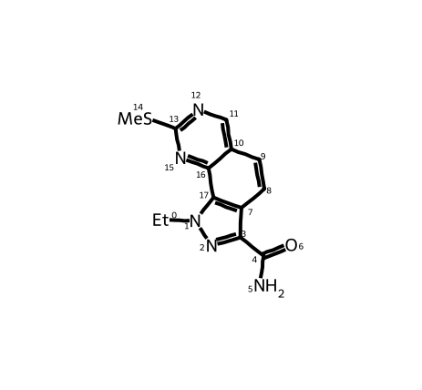 [CH2]Cn1nc(C(N)=O)c2ccc3cnc(SC)nc3c21